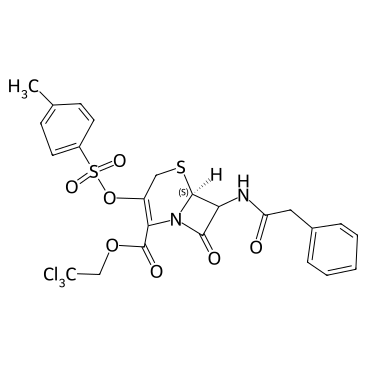 Cc1ccc(S(=O)(=O)OC2=C(C(=O)OCC(Cl)(Cl)Cl)N3C(=O)C(NC(=O)Cc4ccccc4)[C@@H]3SC2)cc1